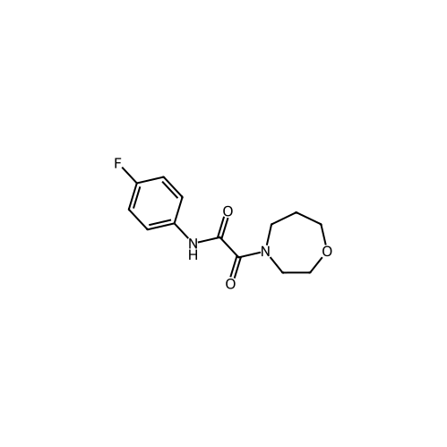 O=C(Nc1ccc(F)cc1)C(=O)N1CCCOCC1